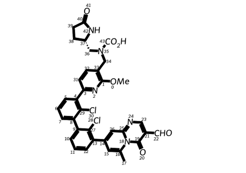 COc1nc(-c2cccc(-c3cccc(-c4cc(C)n5c(=O)c(C=O)cnc5c4)c3Cl)c2Cl)ccc1CN(C[C@@H]1CCC(=O)N1)C(=O)O